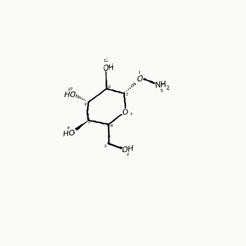 NO[C@@H]1OC(CO)[C@@H](O)[C@H](O)C1O